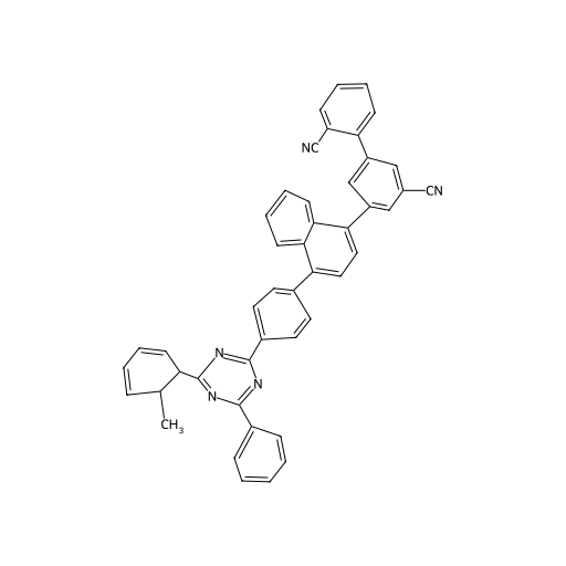 CC1C=CC=CC1c1nc(-c2ccccc2)nc(-c2ccc(-c3ccc(-c4cc(C#N)cc(-c5ccccc5C#N)c4)c4ccccc34)cc2)n1